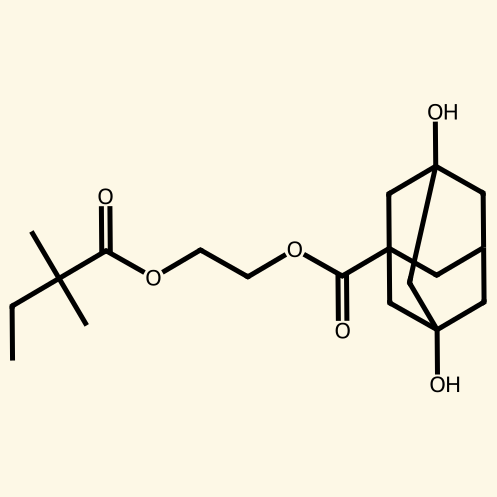 CCC(C)(C)C(=O)OCCOC(=O)C12CC3CC(O)(CC(O)(C3)C1)C2